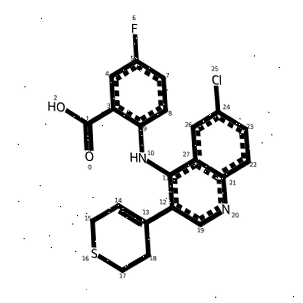 O=C(O)c1cc(F)ccc1Nc1c(C2=CCSCC2)cnc2ccc(Cl)cc12